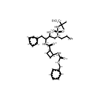 CCOC(=O)C(C)(C)NS(=O)(=O)N(CCC(C)C)CC(O)C(Cc1ccccc1)NC(=O)C1CCC1NC(=O)OCc1ccccc1